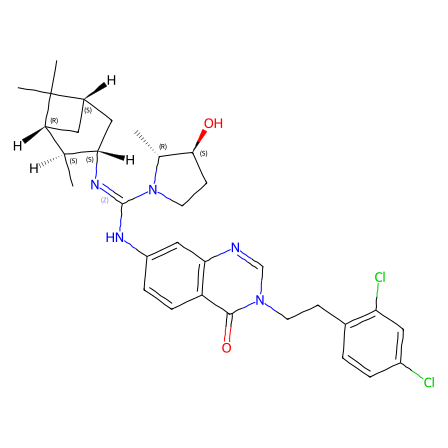 C[C@@H]1[C@@H](/N=C(/Nc2ccc3c(=O)n(CCc4ccc(Cl)cc4Cl)cnc3c2)N2CC[C@H](O)[C@H]2C)C[C@@H]2C[C@H]1C2(C)C